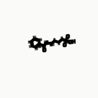 O=C(SSCCCS(=O)(=O)O)c1ccccc1